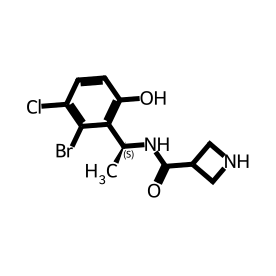 C[C@H](NC(=O)C1CNC1)c1c(O)ccc(Cl)c1Br